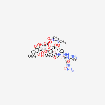 COc1cccc2c1C(=O)c1c(O)c3c(c(O)c1C2=O)C[C@@](O)(C(=O)COC(=O)N(C)CCN(C)C(=O)OCc1ccc(NC(=O)[C@H](CCCNC(N)=O)NC(=O)C(N)C(C)C)cc1)C[C@@H]3O[C@H]1CC[C@H](O[C@H]2NCCO[C@@H]2OC)[C@H](C)O1